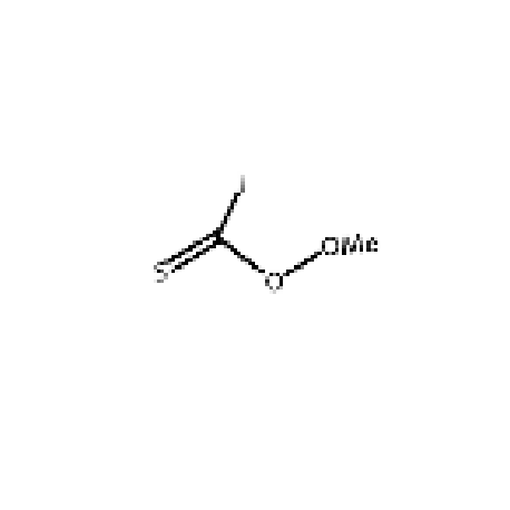 COOC(=S)I